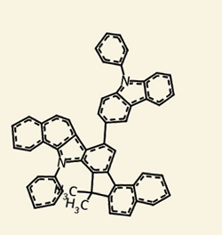 CC1(C)c2ccc3ccccc3c2-c2cc(-c3ccc4c(c3)c3ccccc3n4-c3ccccc3)c3c4ccc5ccccc5c4n(-c4ccccc4)c3c21